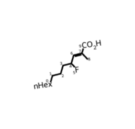 CCCCCCCCCC(F)C=C(C)C(=O)O